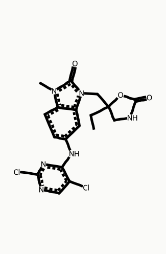 CCC1(Cn2c(=O)n(C)c3ccc(Nc4nc(Cl)ncc4Cl)cc32)CNC(=O)O1